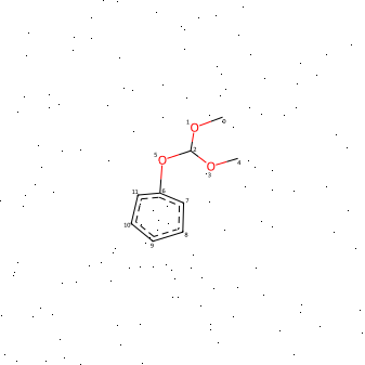 COC(OC)Oc1ccccc1